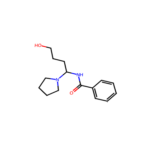 O=C(NC(CCCO)N1CCCC1)c1c[c]ccc1